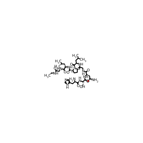 CCNC(=O)CNC(=O)[C@@H](CC(C)C)NC(=O)[C@@H]1CCCN1C(=O)C(CC(C)C)NC(=O)CNC(=O)[C@@H](CC(N)=O)NC(=O)[C@H](CO)NC(=O)C(N)Cc1cnc[nH]1